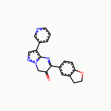 O=C1Cn2ncc(-c3cccnc3)c2N=C1c1ccc2c(c1)CCO2